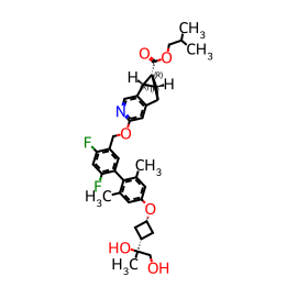 Cc1cc(O[C@H]2C[C@@H](C(C)(O)CO)C2)cc(C)c1-c1cc(COc2cc3c(cn2)[C@H]2[C@H]4C3[C@]42C(=O)OCC(C)C)c(F)cc1F